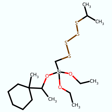 CCO[Si](CSSSSC(C)C)(OCC)OC(C)C1(C)CCCCC1